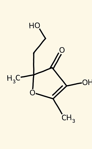 CC1=C(O)C(=O)C(C)(CCO)O1